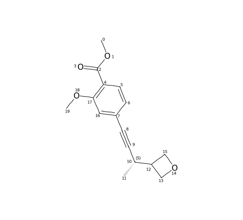 COC(=O)c1ccc(C#C[C@@H](C)C2COC2)cc1OC